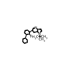 CC(C)(C)n1ccc2ncc(-c3cccc(-c4ccccc4)c3F)cc21